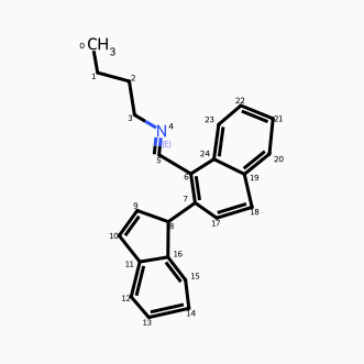 CCCC/N=C/c1c(C2C=Cc3ccccc32)ccc2ccccc12